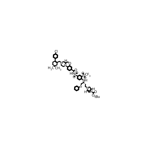 CC1(C)CCC(c2ccc(Cl)cc2)=C(CN2CCN3c4ccc(C(=O)NS(=O)(=O)c5ccc(N[C@H](CCN6C[C@H]7C[C@@H]6CN7C(=O)OC(C)(C)C)CSc6ccccc6)c(S(=O)(=O)C(F)(F)F)c5)cc4OC[C@@H]3C2)C1